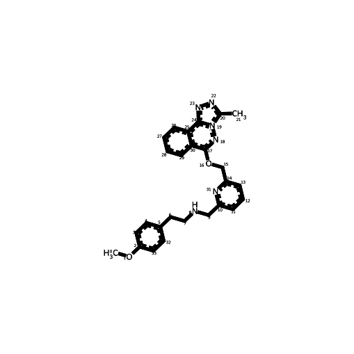 COc1ccc(CCNCc2cccc(COc3nn4c(C)nnc4c4ccccc34)n2)cc1